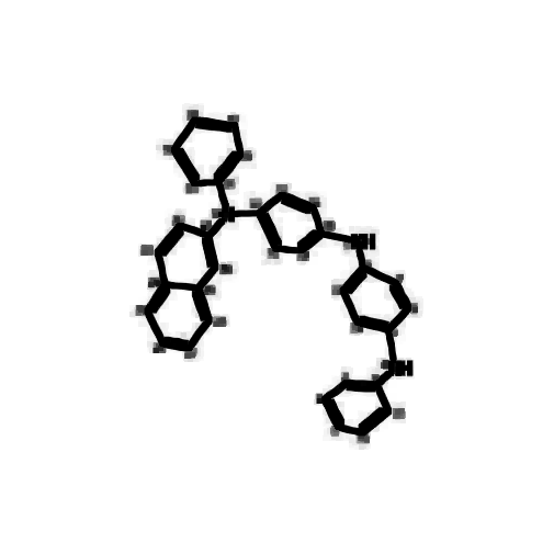 c1ccc(Nc2ccc(Nc3ccc(N(c4ccccc4)c4ccc5ccccc5c4)cc3)cc2)cc1